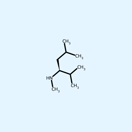 CN[C@@H](CC(C)C)C(C)C